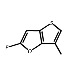 Cc1csc2cc(F)oc12